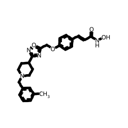 Cc1cccc(CN2CCC(c3noc(COc4ccc(C=CC(=O)NO)cc4)n3)CC2)c1